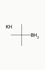 BC(C)(C)C.[KH]